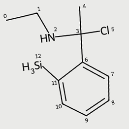 CCNC(C)(Cl)c1ccccc1[SiH3]